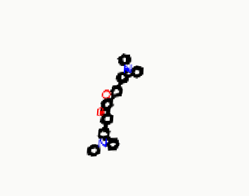 C1=C(c2ccc3c(c2)oc2cc4oc5cc(-c6ccc7c(c6)c6ccccc6n7-c6ccccc6)ccc5c4cc23)CCc2c1c1ccccc1n2-c1ccccc1